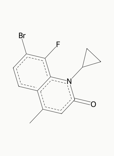 Cc1cc(=O)n(C2CC2)c2c(F)c(Br)ccc12